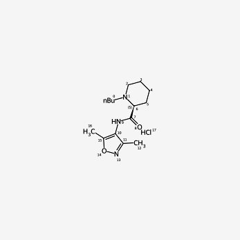 CCCCN1CCCC[C@H]1C(=O)Nc1c(C)noc1C.Cl